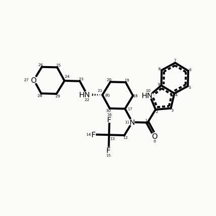 O=C(c1cc2ccccc2[nH]1)N(CC(F)(F)F)C1CCC[C@@H](NCC2CCOCC2)C1